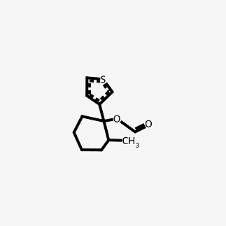 CC1CCCCC1(OC=O)c1ccsc1